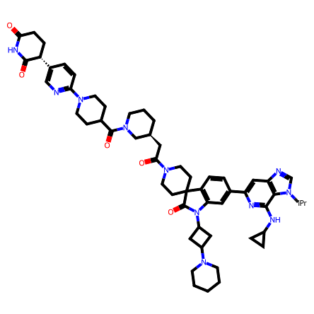 CC(C)n1cnc2cc(-c3ccc4c(c3)N(C3CC(N5CCCCC5)C3)C(=O)C43CCN(C(=O)C[C@@H]4CCCN(C(=O)C5CCN(c6ccc([C@H]7CCC(=O)NC7=O)cn6)CC5)C4)CC3)nc(NC3CC3)c21